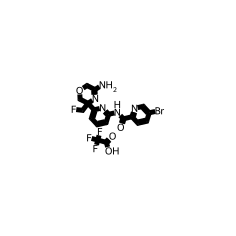 NC1=NC(CF)(c2cccc(NC(=O)c3ccc(Br)cn3)n2)COC1.O=C(O)C(F)(F)F